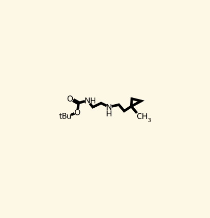 CC1(CCNCCNC(=O)OC(C)(C)C)CC1